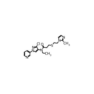 CCN(C(=O)CCSCCn1ccnc1C)c1cn(-c2cccnc2)nc1Cl